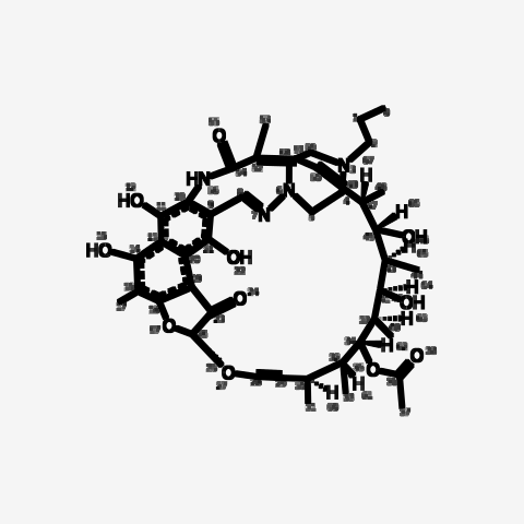 CCCN1CCN(/N=C/c2c3c(O)c4c(O)c(C)c5c(c4c2O)C(=O)[C@@](C)(O/C=C/[C@H](C)[C@@H](C)[C@@H](OC(C)=O)[C@H](C)[C@H](O)[C@H](C)[C@@H](O)[C@@H](C)/C=C/C=C(/C)C(=O)N3)O5)CC1